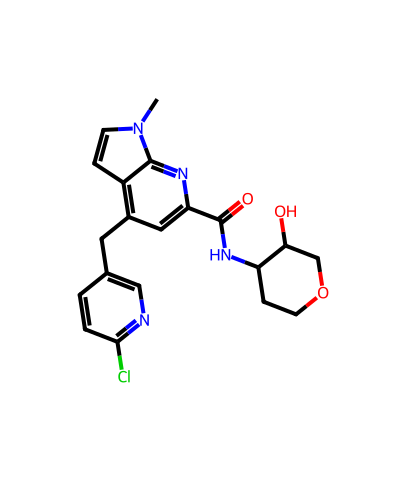 Cn1ccc2c(Cc3ccc(Cl)nc3)cc(C(=O)NC3CCOCC3O)nc21